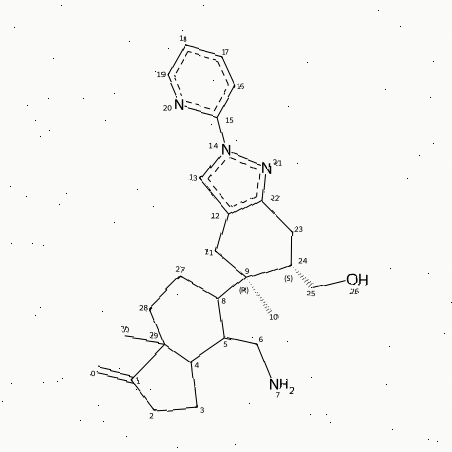 C=C1CCC2C(CN)C([C@@]3(C)Cc4cn(-c5ccccn5)nc4C[C@@H]3CO)CCC12C